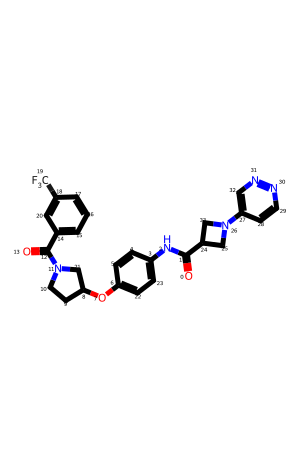 O=C(Nc1ccc(OC2CCN(C(=O)c3cccc(C(F)(F)F)c3)C2)cc1)C1CN(c2ccnnc2)C1